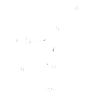 COc1ccc2nccc([C@H](O)CC[C@@H]3CCN(CCSC(C)(C)C)C[C@@H]3C(=O)O)c2c1.Cl.Cl